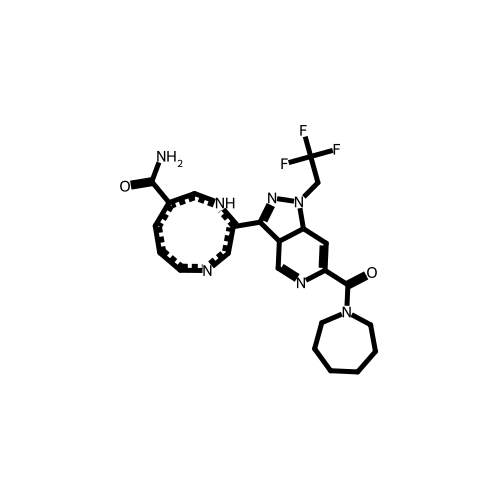 NC(=O)c1cccncc(C2=NN(CC(F)(F)F)C3C=C(C(=O)N4CCCCCC4)N=CC23)[nH]c1